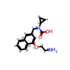 NCCOc1cc(CN(C(=O)O)C2CC2)cc2ccccc12